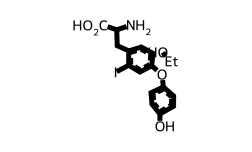 CCO.NC(Cc1ccc(Oc2ccc(O)cc2)cc1I)C(=O)O